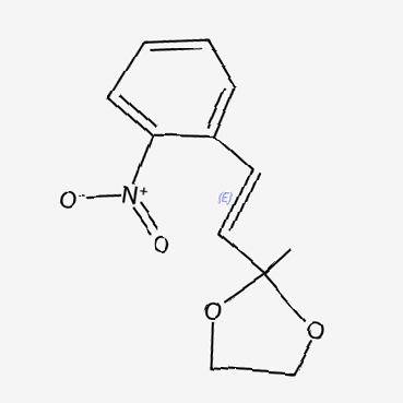 CC1(/C=C/c2ccccc2[N+](=O)[O-])OCCO1